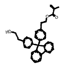 C=C(C)C(=O)OCCc1ccc(C2(c3ccc(CCO)cc3)c3ccccc3-c3ccccc32)cc1